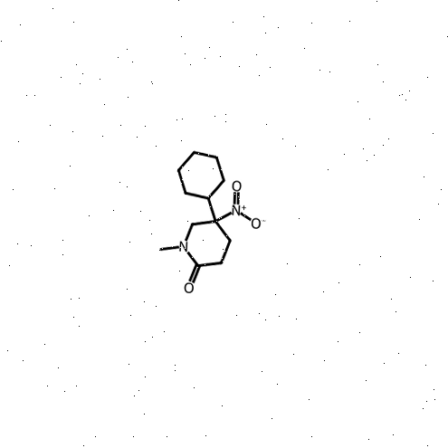 CN1CC(C2CCCCC2)([N+](=O)[O-])CCC1=O